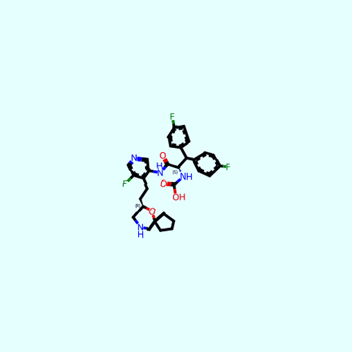 O=C(O)N[C@H](C(=O)Nc1cncc(F)c1CC[C@@H]1CNCC2(CCCC2)O1)C(c1ccc(F)cc1)c1ccc(F)cc1